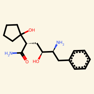 NC(=O)[C@@H](C[C@H](O)[C@@H](N)Cc1ccccc1)C1(O)CCCC1